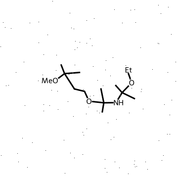 CCOC(C)(C)NC(C)(C)OCCC(C)(C)OC